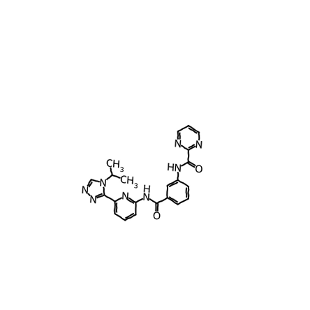 CC(C)n1cnnc1-c1cccc(NC(=O)c2cccc(NC(=O)c3ncccn3)c2)n1